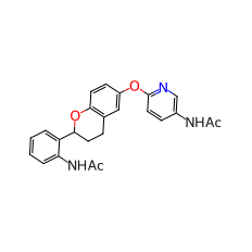 CC(=O)Nc1ccc(Oc2ccc3c(c2)CCC(c2ccccc2NC(C)=O)O3)nc1